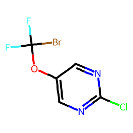 FC(F)(Br)Oc1cnc(Cl)nc1